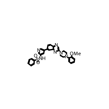 COc1ccccc1N1CCN(c2cnc3ccc(-c4cncc(NS(=O)(=O)c5ccccc5)c4)cc3n2)CC1